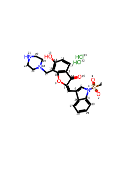 CS(=O)(=O)n1cc(C=C2Oc3c(ccc(O)c3CN3CCNCC3)C2=O)c2ccccc21.Cl.Cl